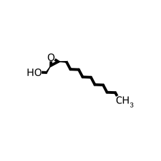 CCCCCCCCCC[C@@H]1O[C@@H]1CO